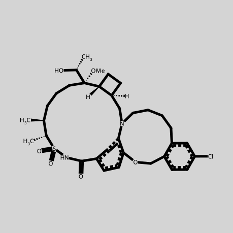 CO[C@@]1([C@@H](C)O)CCC[C@H](C)[C@@H](C)S(=O)(=O)NC(=O)c2ccc3c(c2)N(CCCCc2cc(Cl)ccc2CO3)C[C@@H]2CC[C@H]21